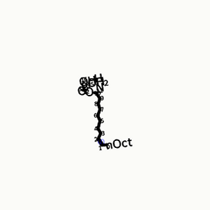 CCCCCCCC/C=C\CCCCCCCC(N)OP(=O)(O)O